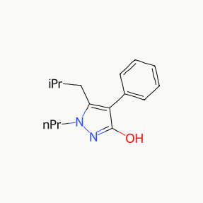 CCCn1nc(O)c(-c2ccccc2)c1CC(C)C